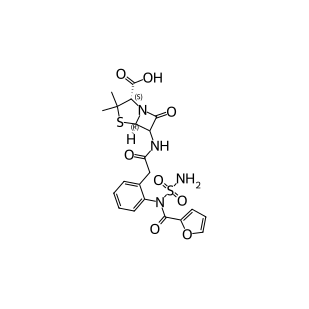 CC1(C)S[C@@H]2C(NC(=O)Cc3ccccc3N(C(=O)c3ccco3)S(N)(=O)=O)C(=O)N2[C@H]1C(=O)O